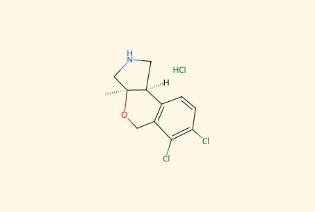 C[C@]12CNC[C@H]1c1ccc(Cl)c(Cl)c1CO2.Cl